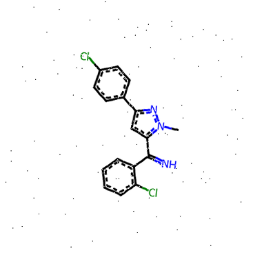 Cn1nc(-c2ccc(Cl)cc2)cc1C(=N)c1ccccc1Cl